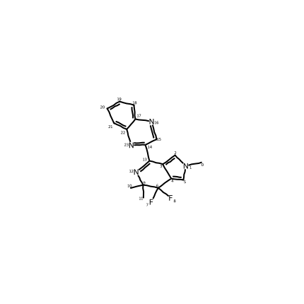 Cn1cc2c(c1)C(F)(F)C(C)(C)N=C2c1cnc2ccccc2n1